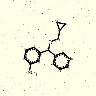 FC(F)(F)Nc1cccc(C(OCC2CC2)c2cccnc2)c1